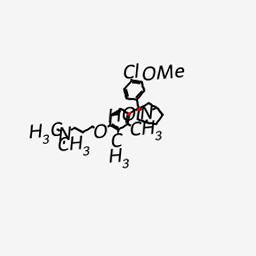 COc1cc(C2(O)CC3CCC(C2)N3Cc2ccc(OCCCN(C)C)c(C)c2C)ccc1Cl